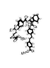 CCC(CC)N(CCN(C)C(=O)OC(C)(C)C)Cc1cccc(C(=O)Nc2sc3c(c2C(=O)Nc2ccc(CCc4ccc(C(=O)OC)cc4)cc2)CCCC3)c1